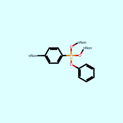 CCCCCCCCCO[PH](OCCCCCCCCC)(Oc1ccccc1)c1ccc(CCCCCCCCC)cc1